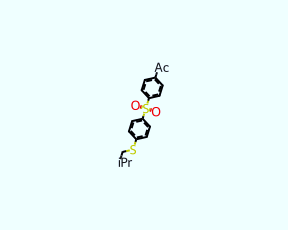 CC(=O)c1ccc(S(=O)(=O)c2ccc(SCC(C)C)cc2)cc1